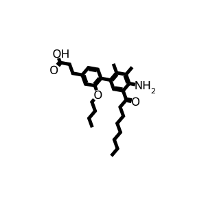 CCCCCCCC(=O)c1cc(-c2ccc(CCC(=O)O)cc2OCCCC)c(C)c(C)c1N